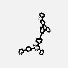 c1ccc(-c2cc(-c3ccc(-c4ccc5c(c4)c4ccccc4c4cc6c(cc54)oc4ccccc46)cc3)nc(-c3ccc(-c4cccnc4)cc3)n2)cc1